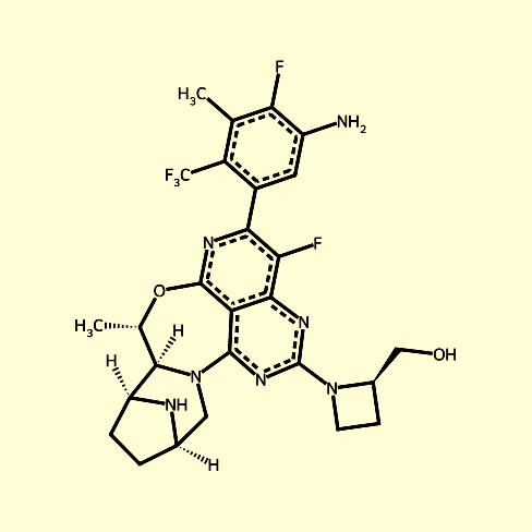 Cc1c(F)c(N)cc(-c2nc3c4c(nc(N5CC[C@@H]5CO)nc4c2F)N2C[C@H]4CC[C@H](N4)[C@H]2[C@H](C)O3)c1C(F)(F)F